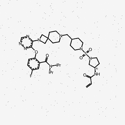 C=CC(=O)N[C@@H]1CCN(S(=O)(=O)N2CCC(CN3CCC4(CC3)CN(c3ncnnc3Oc3ccc(F)cc3C(=O)N(C(C)C)C(C)C)C4)CC2)C1